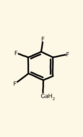 Fc1c[c]([GaH2])c(F)c(F)c1F